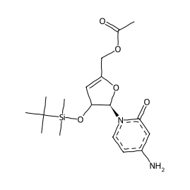 CC(=O)OCC1=CC(O[Si](C)(C)C(C)(C)C)[C@H](n2ccc(N)cc2=O)O1